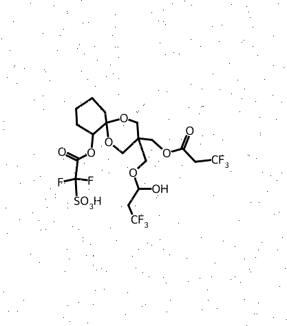 O=C(CC(F)(F)F)OCC1(COC(O)CC(F)(F)F)COC2(CCCCC2OC(=O)C(F)(F)S(=O)(=O)O)OC1